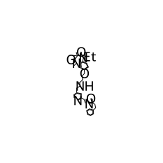 CCN1C(=O)C(C)(C)C(=O)N(C)c2cc(OCCCNCc3ccnc(CCN4C(=O)CCc5ccccc54)c3)ccc21